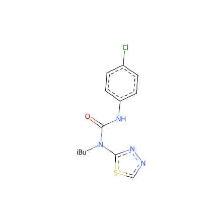 CCC(C)N(C(=O)Nc1ccc(Cl)cc1)c1nncs1